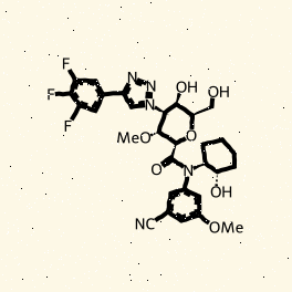 COc1cc(C#N)cc(N(C(=O)[C@@H]2O[C@H](CO)[C@H](O)[C@H](n3cc(-c4cc(F)c(F)c(F)c4)nn3)[C@H]2OC)[C@H]2CCCC[C@@H]2O)c1